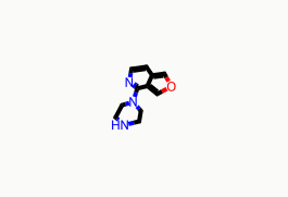 c1cc2cocc2c(N2CCNCC2)n1